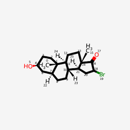 C[C@]12CC[C@H](O)C[C@@H]1CC[C@@H]1[C@@H]2CC[C@]2(C)C(=O)C(Br)C[C@@H]12